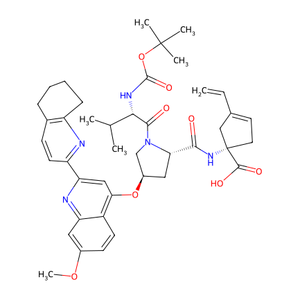 C=CC1=CC[C@@](NC(=O)[C@@H]2C[C@@H](Oc3cc(-c4ccc5c(n4)CCCC5)nc4cc(OC)ccc34)CN2C(=O)[C@@H](NC(=O)OC(C)(C)C)C(C)C)(C(=O)O)C1